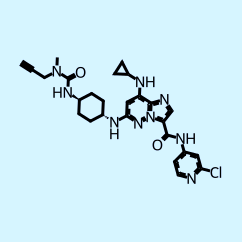 C#CCN(C)C(=O)N[C@H]1CC[C@H](Nc2cc(NC3CC3)c3ncc(C(=O)Nc4ccnc(Cl)c4)n3n2)CC1